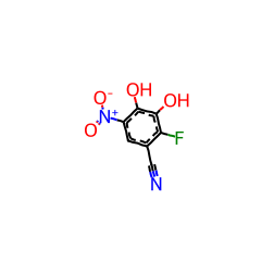 N#Cc1cc([N+](=O)[O-])c(O)c(O)c1F